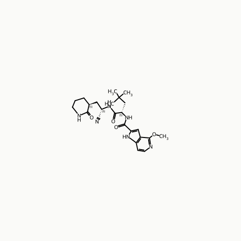 COc1nccc2[nH]c(C(=O)N[C@@H](CC(C)(C)C)C(=O)N[C@H](C#N)C[C@@H]3CCCNC3=O)cc12